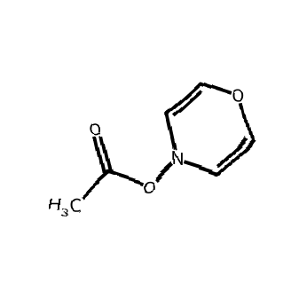 CC(=O)ON1C=COC=C1